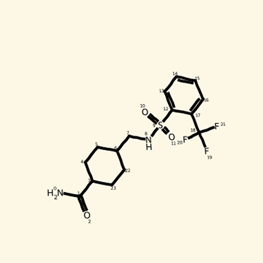 NC(=O)C1CCC(CNS(=O)(=O)c2ccccc2C(F)(F)F)CC1